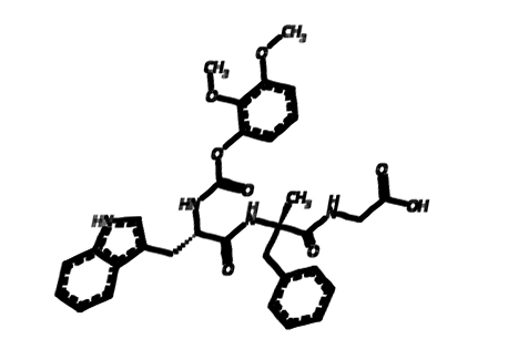 COc1cccc(OC(=O)N[C@@H](Cc2c[nH]c3ccccc23)C(=O)N[C@@](C)(Cc2ccccc2)C(=O)NCC(=O)O)c1OC